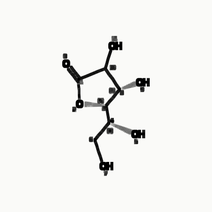 O=C1O[C@@H]([C@H](O)CO)[C@@H](O)C1O